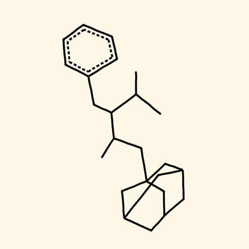 CC(C)C(Cc1ccccc1)C(C)CC12CC3CC(CC(C3)C1)C2